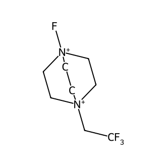 FC(F)(F)C[N+]12CC[N+](F)(CC1)CC2